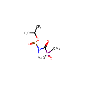 COP(=O)(OC)C(=O)NS(=O)OC(C(F)(F)F)C(F)(F)F